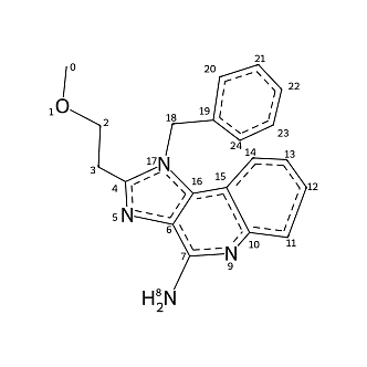 COCCc1nc2c(N)nc3ccccc3c2n1Cc1ccccc1